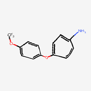 Nc1ccc(Oc2ccc(OC(F)(F)F)cc2)cc1